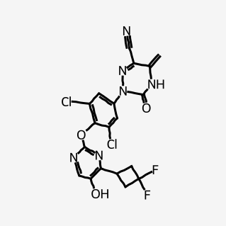 C=C1NC(=O)N(c2cc(Cl)c(Oc3ncc(O)c(C4CC(F)(F)C4)n3)c(Cl)c2)N=C1C#N